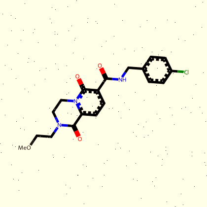 COCCN1CCn2c(ccc(C(=O)NCc3ccc(Cl)cc3)c2=O)C1=O